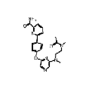 CC(=O)N(C)CCN(C)c1cncc(Oc2ccc(-c3cccc(C(N)=O)n3)cc2)n1